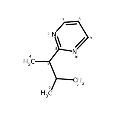 CC(C)C(C)c1ncccn1